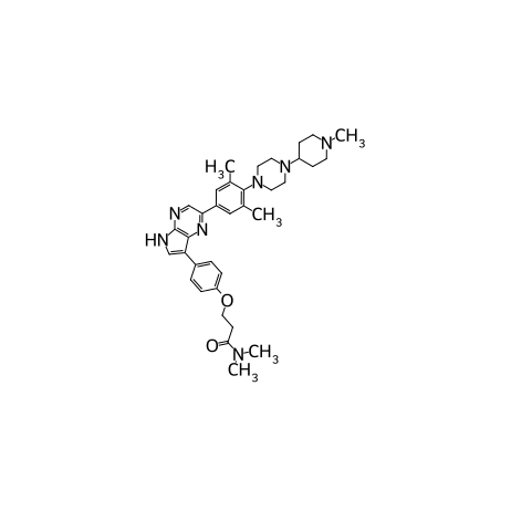 Cc1cc(-c2cnc3[nH]cc(-c4ccc(OCCC(=O)N(C)C)cc4)c3n2)cc(C)c1N1CCN(C2CCN(C)CC2)CC1